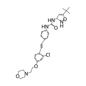 CC(C)(C)C1=CC(NC(=O)Nc2ccc(C#Cc3ccc(OCCN4CCOCC4)cc3Cl)cc2)NO1